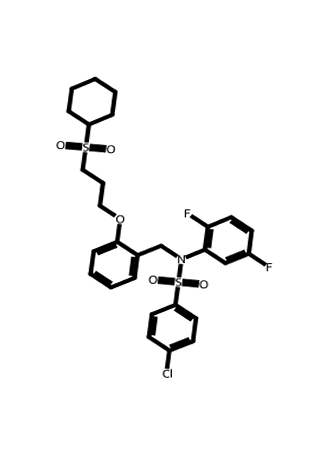 O=S(=O)(CCCOc1ccccc1CN(c1cc(F)ccc1F)S(=O)(=O)c1ccc(Cl)cc1)C1CCCCC1